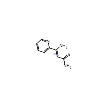 NC(=S)/C=C(\N)c1ccccn1